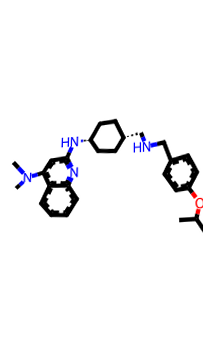 CC(C)Oc1ccc(CNC[C@H]2CC[C@@H](Nc3cc(N(C)C)c4ccccc4n3)CC2)cc1